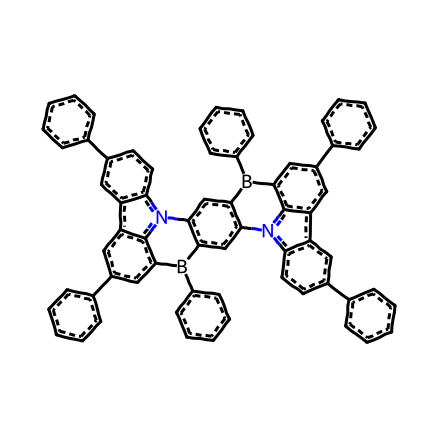 c1ccc(B2c3cc4c(cc3-n3c5ccc(-c6ccccc6)cc5c5cc(-c6ccccc6)cc2c53)B(c2ccccc2)c2cc(-c3ccccc3)cc3c5cc(-c6ccccc6)ccc5n-4c23)cc1